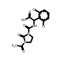 CC(=O)N1CCN(C(=O)NC(C(=O)O)c2c(Cl)cccc2Cl)C1=O